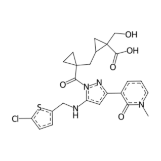 Cn1cccc(-c2cc(NCc3ccc(Cl)s3)n(C(=O)C3(CC4CC4(CO)C(=O)O)CC3)n2)c1=O